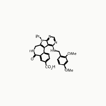 COc1ccc(CNc2ncnc3c2c2c(n3C(C)C)CNC(=O)c3cc(C(=O)O)ccc3-2)c(OC)c1